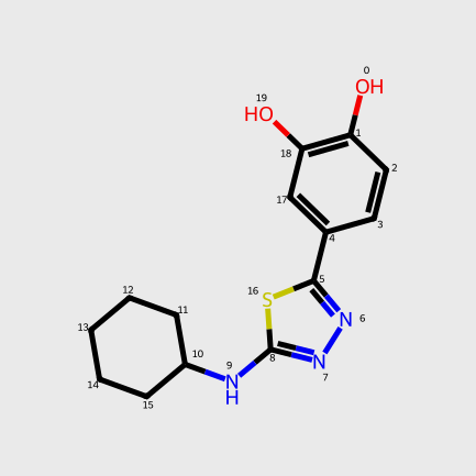 Oc1ccc(-c2nnc(NC3CCCCC3)s2)cc1O